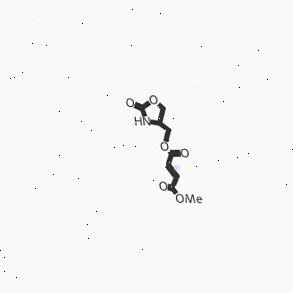 COC(=O)/C=C/C(=O)OCC1COC(=O)N1